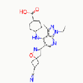 CCn1nc(C)c2c(NC3CCC(C(=O)O)CC3)c(C3=NOC4(C3)CC(C#N)C4)cnc21